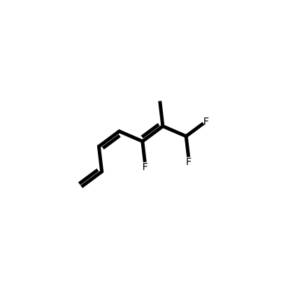 C=C/C=C\C(F)=C(/C)C(F)F